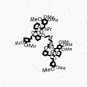 CCC[C@H](C(=O)N1CCCC[C@H]1C(=O)O[C@H](CCc1ccc(OC)c(OC)c1)c1cccc(OCCN(C)CCN(C)CCOc2cccc([C@@H](CCc3ccc(OC)c(OC)c3)OC(=O)[C@@H]3CCCCN3C(=O)[C@@H](CC)c3cc(OC)c(OC)c(OC)c3)c2)c1)c1cc(OC)c(OC)c(OC)c1